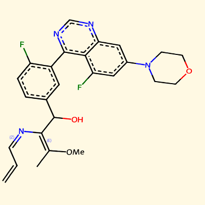 C=C/C=N\C(=C(/C)OC)C(O)c1ccc(F)c(-c2ncnc3cc(N4CCOCC4)cc(F)c23)c1